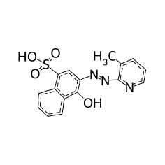 Cc1cccnc1N=Nc1cc(S(=O)(=O)O)c2ccccc2c1O